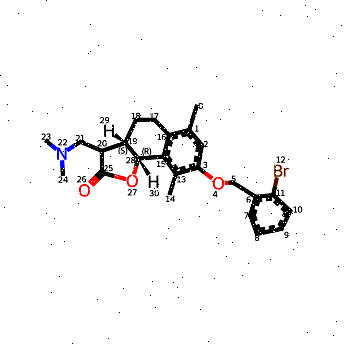 Cc1cc(OCc2ccccc2Br)c(C)c2c1CC[C@H]1C(CN(C)C)C(=O)O[C@@H]21